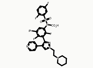 CC(C)c1cc(N(C(=O)O)S(=O)(=O)c2cc(F)ccc2F)c(F)c(-c2nn(CCN3CCCCC3)cc2-c2ccncc2)c1F